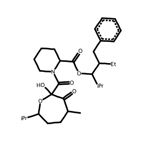 CCC(Cc1ccccc1)C(OC(=O)C1CCCCN1C(=O)C1(O)OC(C(C)C)CCC(C)C1=O)C(C)C